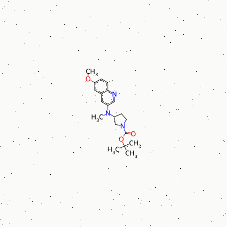 COc1ccc2ncc(N(C)C3CCN(C(=O)OC(C)(C)C)C3)cc2c1